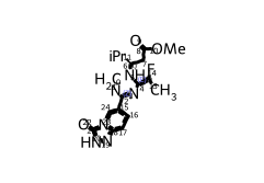 C=N/C(=N\C(N[C@H](CC(=O)OC)C(C)C)=C(/C)F)c1ccc2n[nH]c(=O)n2c1